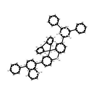 c1ccc(-c2nc(-c3ccccc3)nc(-c3ccc4c(c3)C3(c5cc(-c6ccc(-c7ccccc7)c7cccnc67)ccc5O4)c4ccccc4-c4ccccc43)n2)cc1